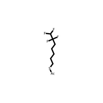 CC(=O)SCCCCCC(F)(F)C(F)F